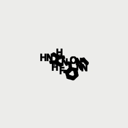 O=C(c1c(F)cccc1-n1nccn1)N1C[C@H]2CNC[C@H]2C1